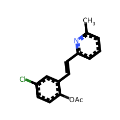 CC(=O)Oc1ccc(Cl)cc1C=Cc1cccc(C)n1